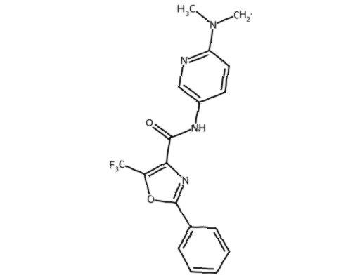 [CH2]N(C)c1ccc(NC(=O)c2nc(-c3ccccc3)oc2C(F)(F)F)cn1